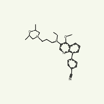 CCN(CCCN1CC(C)OC(C)C1)c1cnc2c(-c3ccc(C#N)cc3)cccc2c1OC